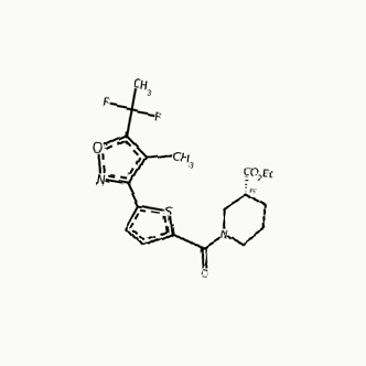 CCOC(=O)[C@@H]1CCCN(C(=O)c2ccc(-c3noc(C(C)(F)F)c3C)s2)C1